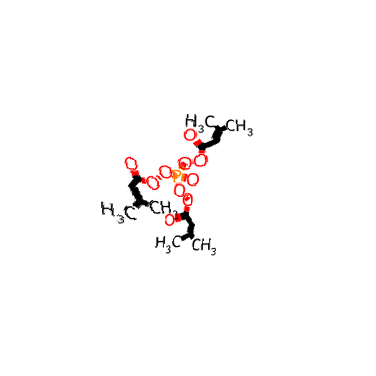 CC(C)=CC(=O)OOP(=O)(OOC(=O)C=C(C)C)OOC(=O)C=C(C)C